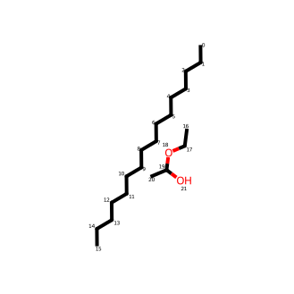 CCCCCCCCCCCCCCCC.CCOC(C)O